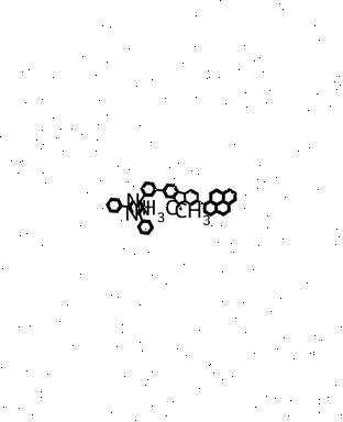 CC1(C)c2cc(-c3cccc(-c4nc(-c5ccccc5)nc(-c5ccccc5)n4)c3)ccc2C2C=CC(c3ccc4ccc5cccc6ccc3c4c56)=CC21